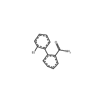 CCc1ccccc1-c1ccccc1C(N)=O